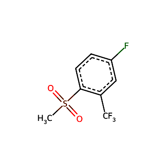 CS(=O)(=O)c1ccc(F)cc1C(F)(F)F